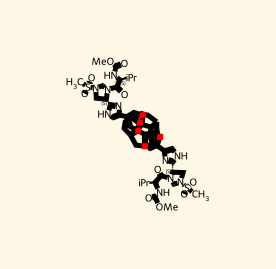 COC(=O)N[C@H](C(=O)N1CN(S(C)(=O)=O)C[C@H]1c1nc(-c2ccc(-c3cc4ccc3CCc3ccc(c(-c5ccc(-c6c[nH]c([C@@H]7CN(S(C)(=O)=O)CN7C(=O)[C@@H](NC(=O)OC)C(C)C)n6)cc5)c3)CC4)cc2)c[nH]1)C(C)C